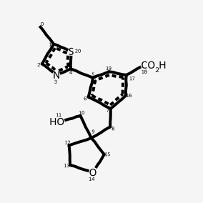 Cc1cnc(-c2cc(CC3(CO)CCOC3)cc(C(=O)O)c2)s1